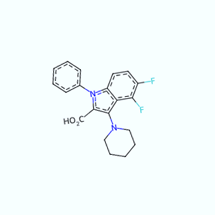 O=C(O)c1c(N2CCCCC2)c2c(F)c(F)ccc2n1-c1ccccc1